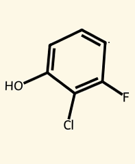 Oc1cc[c]c(F)c1Cl